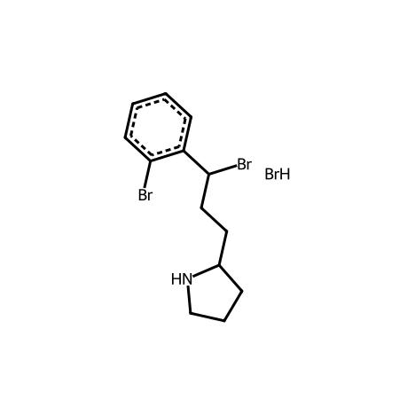 Br.Brc1ccccc1C(Br)CCC1CCCN1